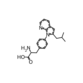 CC(C)Cc1cc2cccnc2n1-c1ccc(C[C@H](N)C(=O)O)cc1